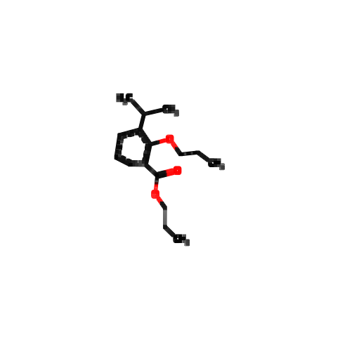 CCCOC(=O)c1cccc(C(C)C)c1OCCC